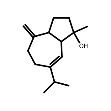 C=C1CCC(C(C)C)=CC2C1CCC2(C)O